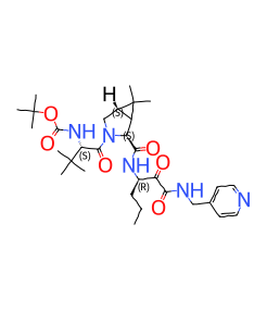 CCC[C@@H](NC(=O)[C@@H]1C2[C@H](CN1C(=O)[C@@H](NC(=O)OC(C)(C)C)C(C)(C)C)C2(C)C)C(=O)C(=O)NCc1ccncc1